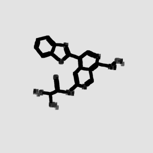 CNc1ncc(-c2nc3ccccc3o2)c2cc(NC(=O)C(C)C)ncc12